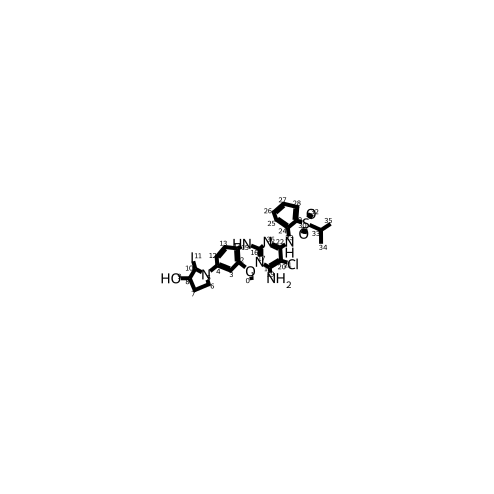 COc1cc(N2CCC(O)C2I)ccc1Nc1nc(N)c(Cl)c(Nc2ccccc2S(=O)(=O)C(C)C)n1